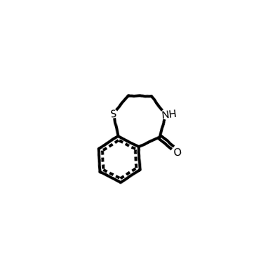 O=C1NCCSc2ccccc21